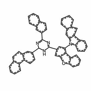 c1ccc2cc(C3=NC(c4ccc5c(ccc6ccccc65)c4)NC(c4cc(-n5c6ccccc6c6cc7ccccc7cc65)c5c(c4)oc4ccccc45)=N3)ccc2c1